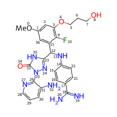 COc1cc(OCCCO)c(F)c(C(Nc2ccc(C(=N)N)cc2)c2nn(-c3ncccc3N)c(=O)[nH]2)c1